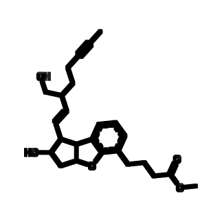 CC#CCCC(C=CC1C(O)CC2Oc3c(CCCC(=O)OC)cccc3C21)CO